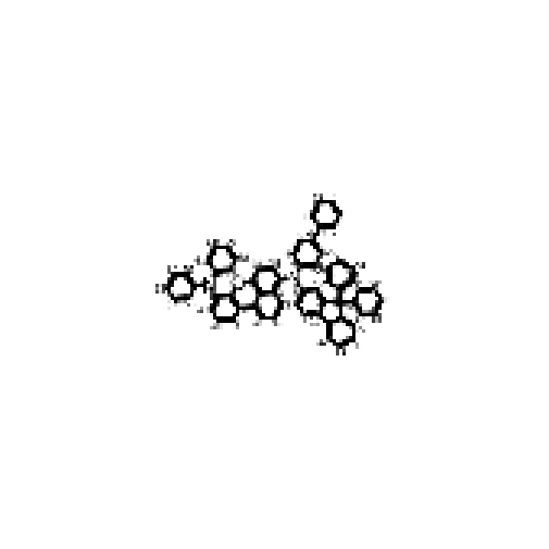 c1ccc(-c2ccc(N(c3ccc4c(c3)C(c3ccccc3)(c3ccccc3)c3ccccc3-4)c3ccc4c5c(cccc35)-c3cccc(N(c5ccccc5)c5ccccc5)c3O4)cc2)cc1